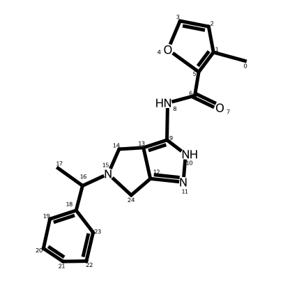 Cc1ccoc1C(=O)Nc1[nH]nc2c1CN(C(C)c1ccccc1)C2